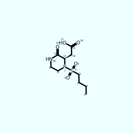 CCCCS(=O)(=O)N1CCNC(=O)[C@H]1CC(=O)O